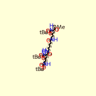 COC(=O)[C@H](CCCCNC(=O)CCCCCNC(=O)[C@H](CCCCNC(=O)OC(C)(C)C)NC(=O)OC(C)(C)C)NC(=O)OC(C)(C)C